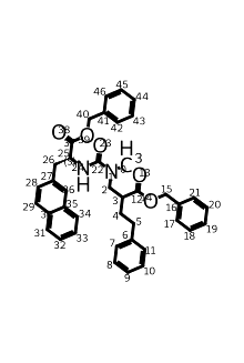 CN(CC(CCc1ccccc1)C(=O)OCc1ccccc1)C(=O)N[C@@H](Cc1ccc2ccccc2c1)C(=O)OCc1ccccc1